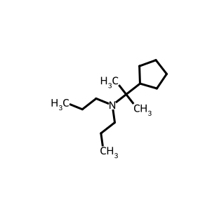 CCCN(CCC)C(C)(C)C1CCCC1